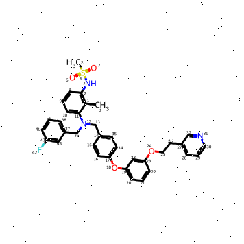 Cc1c(NS(C)(=O)=O)cccc1N(Cc1ccc(Oc2cccc(OCCc3cccnc3)c2)cc1)Cc1cccc(F)c1